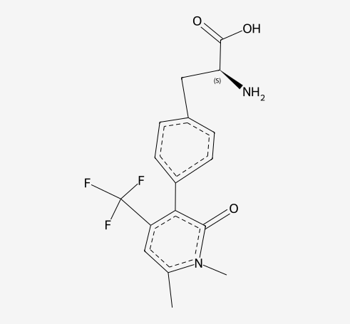 Cc1cc(C(F)(F)F)c(-c2ccc(C[C@H](N)C(=O)O)cc2)c(=O)n1C